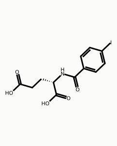 O=C(O)CC[C@H](NC(=O)c1ccc(I)cc1)C(=O)O